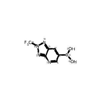 OB(O)c1cnc2nn(C(F)(F)F)nc2c1